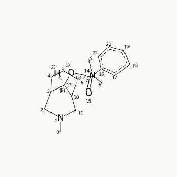 CN1CC2CC[C@H](N(C)C)C(C1)[C@@H]2OC(=O)c1ccccc1